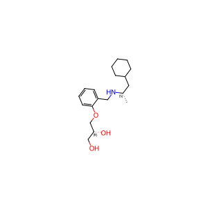 C[C@@H](CC1CCCCC1)NCc1ccccc1OC[C@H](O)CO